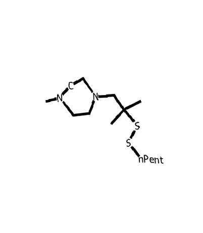 CCCCCSSC(C)(C)CN1CCN(C)CC1